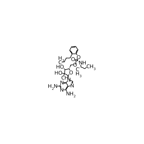 CCCCc1ccccc1O[P@](=O)(N[C@@H](C)CC)OC[C@H]1O[C@@H](n2cnc3c(N)nc(N)nc32)C(C)(O)[C@H]1O